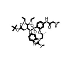 CCOC(OCC)[C@H](CC(=O)OC(C)(C)C)NS(=O)(=O)c1ccc(NC(=O)CN(C)C)cc1O[C@H](C)Cn1c(SC)nc2ccccc21